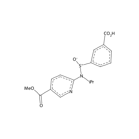 COC(=O)c1ccc(N(C(C)C)[S+]([O-])c2cccc(C(=O)O)c2)nc1